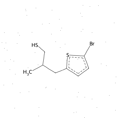 CC(CS)Cc1ccc(Br)s1